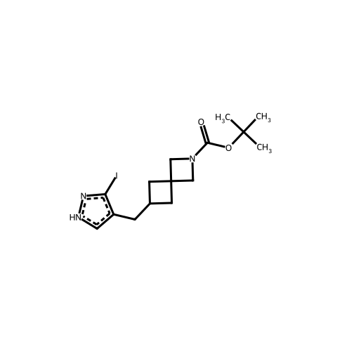 CC(C)(C)OC(=O)N1CC2(CC(Cc3c[nH]nc3I)C2)C1